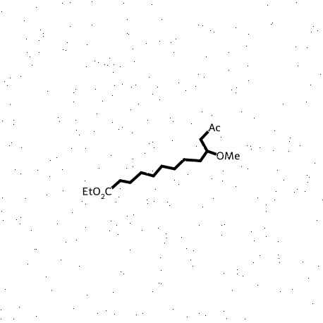 CCOC(=O)CCCCCCCCC(CC(C)=O)OC